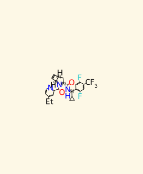 CCc1ccnc(C(=O)N2[C@@H](C(=O)N[C@@H](c3cc(F)c(C(F)(F)F)cc3F)C3CC3)C[C@H]3C#C[C@H]32)c1